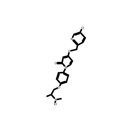 CCN(C)C(C)COc1ccc(-n2ccc(OCc3ccc(Cl)cn3)cc2=O)cc1